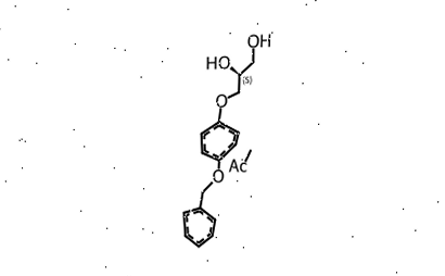 CC(C)=O.OC[C@H](O)COc1ccc(OCc2ccccc2)cc1